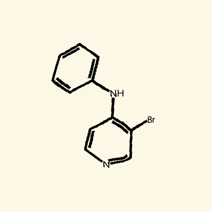 Brc1cnccc1Nc1ccccc1